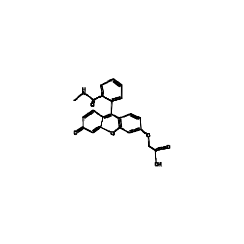 CNC(=O)c1ccccc1-c1c2ccc(=O)cc-2oc2cc(OCC(=O)O)ccc12